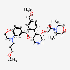 COCCCN1CCOc2ccc(CO[C@H]3CNC[C@@H](OCC(=O)N4C(C)COC[C@H]4C)[C@@H]3c3ccc(COC)cc3)cc21